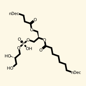 CCCCCCCCCCCCCCCCC(=O)O[C@H](COC(=O)CCCCCCCCCCCC)COP(=O)(O)OC[C@@H](O)CO